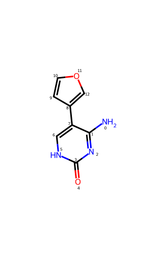 Nc1nc(=O)[nH]cc1-c1ccoc1